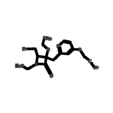 COCOC1(Cc2cc(OCCC(C)C)ccn2)C(=O)N(COC)C1CC(C)C